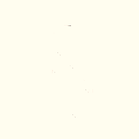 Cc1nc(N2CCC3(CC2)COC[C@H]3C)nc(C(N)=O)c1-c1ccnc(Cl)c1Cl